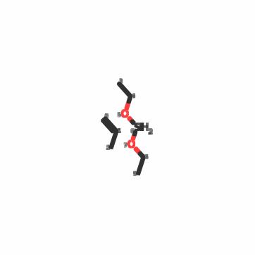 C=CC.CCO[SiH2]OCC